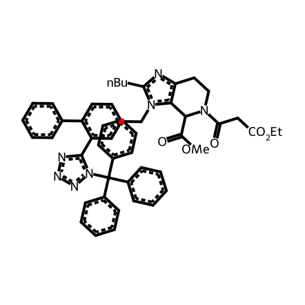 CCCCc1nc2c(n1Cc1ccc(-c3ccccc3)c(-c3nnnn3C(c3ccccc3)(c3ccccc3)c3ccccc3)c1)C(C(=O)OC)N(C(=O)CC(=O)OCC)CC2